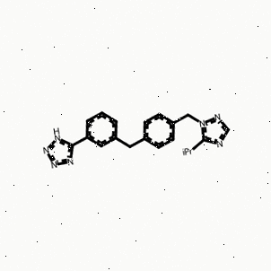 CC(C)c1ncnn1Cc1ccc(Cc2cccc(-c3nnn[nH]3)c2)cc1